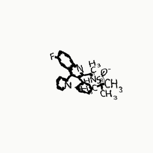 C[C@H](N[S@@+]([O-])C(C)(C)C)c1nc2ccc(F)cc2c(-c2ccccn2)c1-c1ccccc1